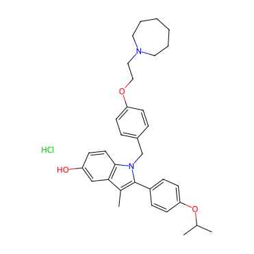 Cc1c(-c2ccc(OC(C)C)cc2)n(Cc2ccc(OCCN3CCCCCC3)cc2)c2ccc(O)cc12.Cl